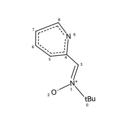 CC(C)(C)[N+]([O-])=Cc1ccccn1